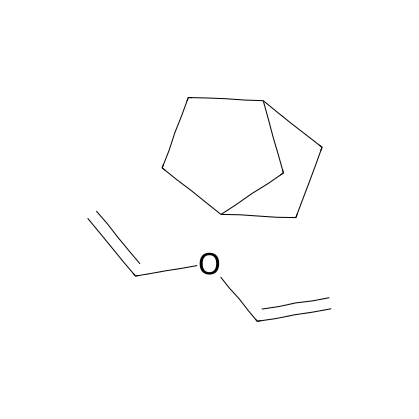 C1CC2CCC1C2.C=COC=C